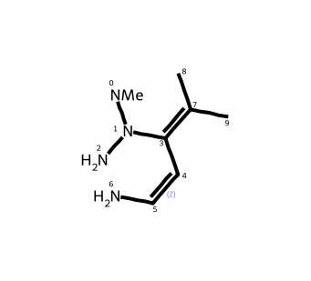 CNN(N)C(/C=C\N)=C(C)C